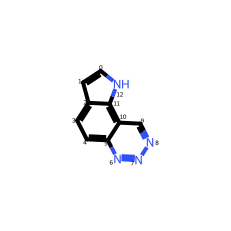 c1cc2ccc3nnncc3c2[nH]1